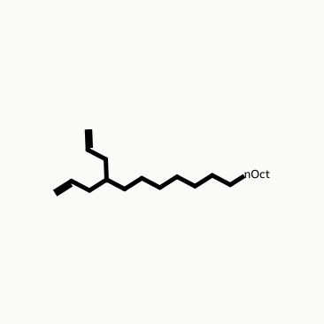 C=CC[C](CC=C)CCCCCCCCCCCCCCC